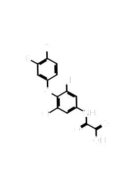 O=C(O)C(=O)Nc1cc(Cl)c(Oc2ccc(F)c(F)c2)c(Cl)c1